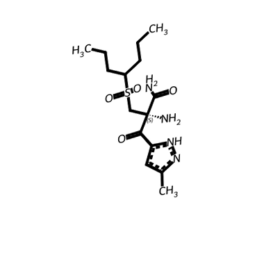 CCCC(CCC)S(=O)(=O)C[C@@](N)(C(N)=O)C(=O)c1cc(C)n[nH]1